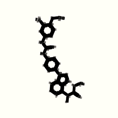 CN(C(=O)OC(C)(C)C)c1ncnc2c1ncn2-c1ccc(NC(=O)Nc2ccc(CC=O)c(C(F)(F)F)c2)cc1